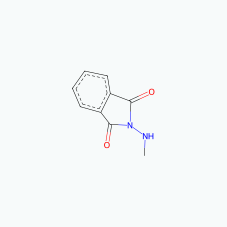 CNN1C(=O)c2ccccc2C1=O